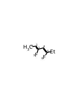 CC=C(F)C=C(F)CC